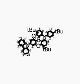 CC(C)(C)c1ccc(N2c3ccc(C(C)(C)C)c4c3P3c5c(cc(-n6c7ccccc7c7ccccc76)cc5Oc5c(C(C)(C)C)ccc2c53)O4)cc1